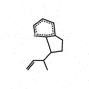 C=CC(C)C1CCc2cccnc21